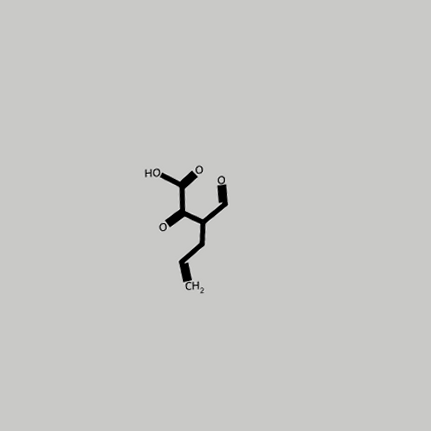 C=CCC(C=O)C(=O)C(=O)O